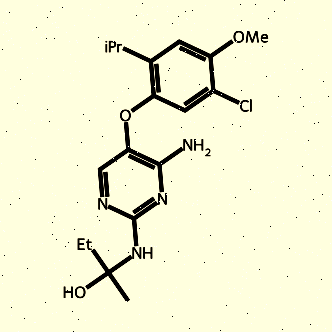 CCC(C)(O)Nc1ncc(Oc2cc(Cl)c(OC)cc2C(C)C)c(N)n1